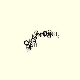 N=C(C1CCCCC1NCc1nc(C(=O)NCc2ccc(S(N)(=O)=O)cc2)cs1)C(F)(F)F